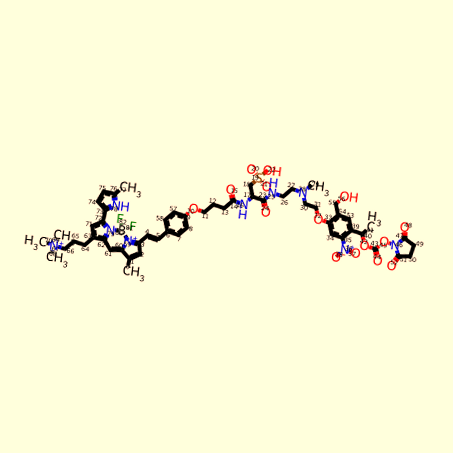 CC1=CC(/C=C/c2ccc(OCCCC(=O)NC(CS(=O)(=O)O)C(=O)NCCN(C)CCOc3cc([N+](=O)[O-])c(C(C)OC(=O)ON4C(=O)CCC4=O)cc3CO)cc2)=[N+]2C1=Cc1c(CCC[N+](C)(C)C)cc(-c3ccc(C)[nH]3)n1[B-]2(F)F